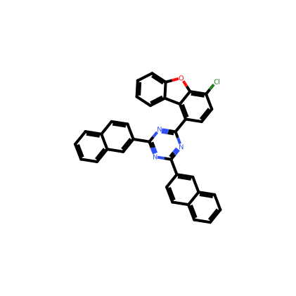 Clc1ccc(-c2nc(-c3ccc4ccccc4c3)nc(-c3ccc4ccccc4c3)n2)c2c1oc1ccccc12